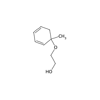 CC1(OCCO)C=CC=CC1